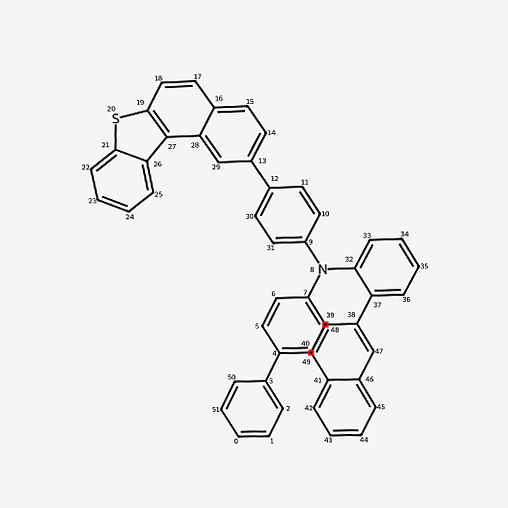 c1ccc(-c2ccc(N(c3ccc(-c4ccc5ccc6sc7ccccc7c6c5c4)cc3)c3ccccc3-c3ccc4ccccc4c3)cc2)cc1